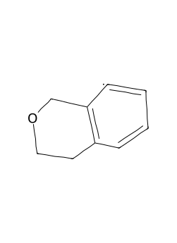 [c]1cccc2c1COCC2